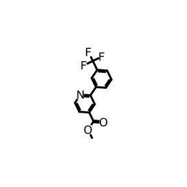 COC(=O)c1ccnc(-c2cccc(C(F)(F)F)c2)c1